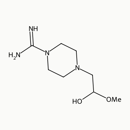 COC(O)CN1CCN(C(=N)N)CC1